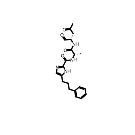 CC(=O)C[C@@H](C=O)NC(=O)[C@H](C)NC(=O)c1ncc(CCCc2ccccc2)[nH]1